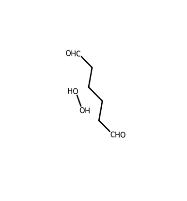 O=CCCCCC=O.OO